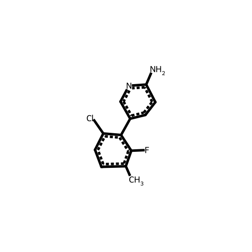 Cc1ccc(Cl)c(-c2ccc(N)nc2)c1F